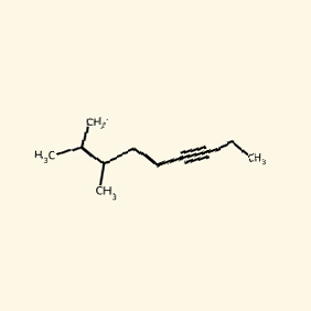 [CH2]C(C)C(C)CCC#CCC